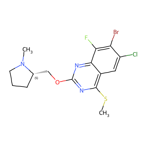 CSc1nc(OC[C@@H]2CCCN2C)nc2c(F)c(Br)c(Cl)cc12